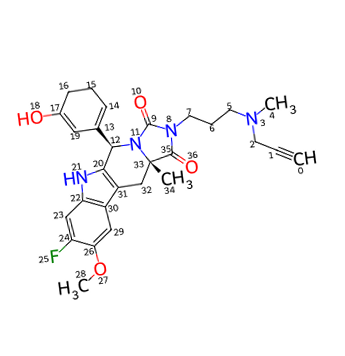 C#CCN(C)CCCN1C(=O)N2[C@H](C3=CCCC(O)=C3)c3[nH]c4cc(F)c(OC)cc4c3C[C@@]2(C)C1=O